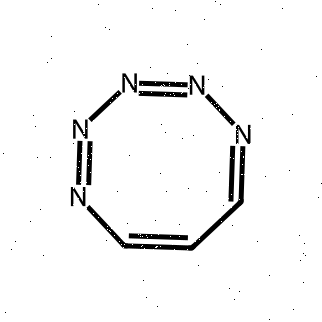 C1=C\N=N/N=N\N=C/1